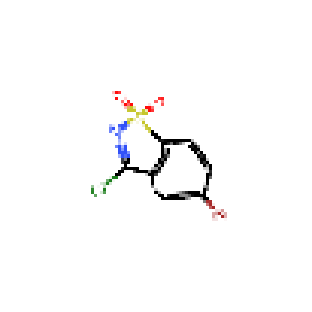 O=S1(=O)N=C(Cl)c2cc(Br)ccc21